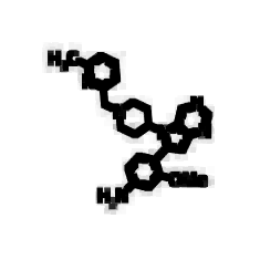 COc1cc(N)ccc1-c1cc2ncncc2n1C1CCN(Cc2cccc(C)n2)CC1